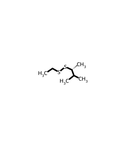 CCSS[C@H](C)C(C)C